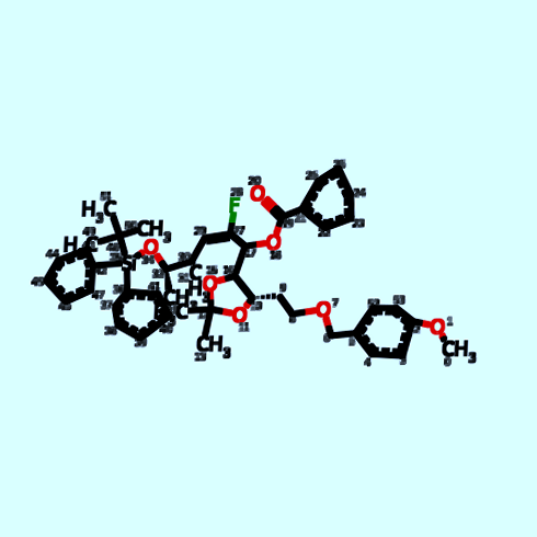 COc1ccc(COCC[C@@H]2OC(C)(C)OC2C(OC(=O)c2ccccc2)/C(F)=C\[C@@H](C)[C@@H](C)O[Si](c2ccccc2)(c2ccccc2)C(C)(C)C)cc1